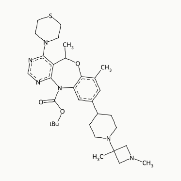 Cc1cc(C2CCN(C3(C)CN(C)C3)CC2)cc2c1OC(C)c1c(N3CCSCC3)ncnc1N2C(=O)OC(C)(C)C